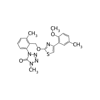 COc1ccc(C)cc1-c1csc(OCc2c(C)cccc2-n2nnn(C)c2=O)n1